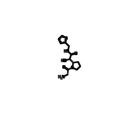 NCC(=O)N1CCCC1C(O)C(=O)NCc1cccs1